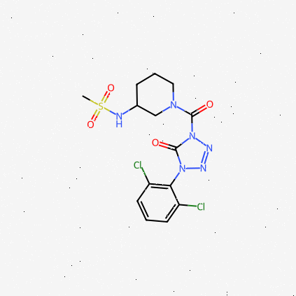 CS(=O)(=O)NC1CCCN(C(=O)n2nnn(-c3c(Cl)cccc3Cl)c2=O)C1